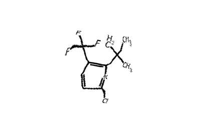 CC(C)(C)c1nc(Cl)ccc1C(F)(F)F